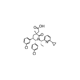 CC[C@@H](c1cccc(C2CC2)n1)N1C(=O)[C@@](C)(CC(=O)O)C[C@H](c2cccc(Cl)c2)[C@H]1c1ccc(Cl)cc1